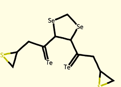 [Te]=C(CC1CS1)C1[Se]C[Se]C1C(=[Te])CC1CS1